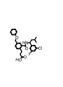 CC(C)CC(NC(=O)c1cc(COc2ccccc2)ccc1CCC(=O)O)c1cc(F)cc(Cl)c1